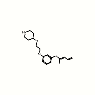 C=C/C=C(\C)Oc1cccc(OCCOC2CCNCC2)c1